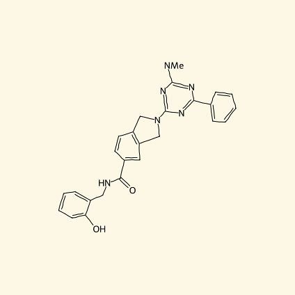 CNc1nc(-c2ccccc2)nc(N2Cc3ccc(C(=O)NCc4ccccc4O)cc3C2)n1